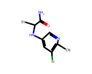 CCC(Nc1cnc(C#N)c(Br)c1)C(N)=O